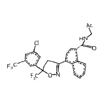 CC(=O)CNC(=O)c1ccc(C2=NOC(c3cc(Cl)cc(C(F)(F)F)c3)(C(F)(F)F)C2)c2ccccc12